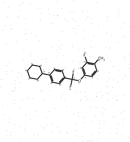 Cc1ccc(OC(F)(F)c2ccc(C3CCCCC3)cc2)cc1F